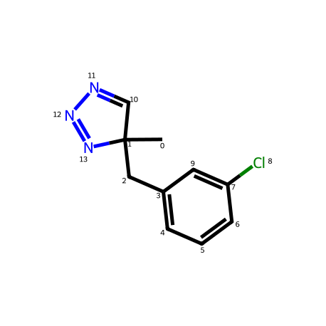 CC1(Cc2cccc(Cl)c2)C=NN=N1